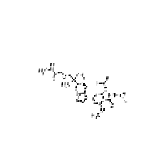 CNC(=O)COCC(C)(C)c1ccc2c(-c3cc(OC)c(C(=O)N[C@@H]4C[C@@H]4F)c(OC(F)F)c3)cnn2c1